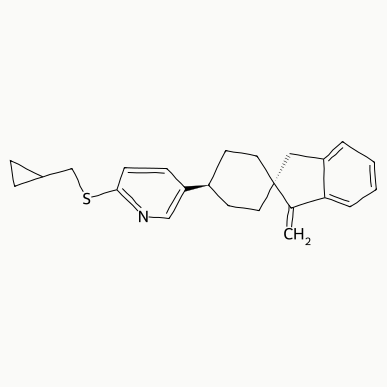 C=C1c2ccccc2C[C@]12CC[C@H](c1ccc(SCC3CC3)nc1)CC2